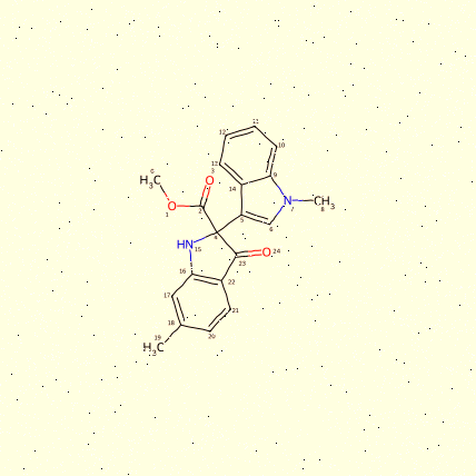 COC(=O)C1(c2cn(C)c3ccccc23)Nc2cc(C)ccc2C1=O